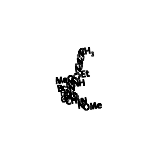 CCc1cc(Nc2ncc(Br)c(Nc3ccc(-c4cnc(OC)nc4)cc3P(C)(C)=O)n2)c(OC)cc1N1CCC(N2CCN(C)CC2)CC1